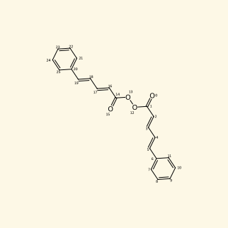 O=C(C=CC=Cc1ccccc1)OOC(=O)C=CC=Cc1ccccc1